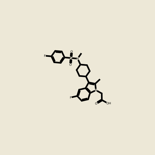 Cc1c(C2CCC(N(C)S(=O)(=O)c3ccc(F)cc3)CC2)c2cc(F)ccc2n1CC(=O)O